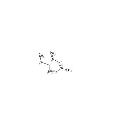 C=N/N=C(C)\C=N/CSC